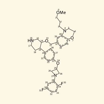 COCCCN1CCOc2ccc(COC3CNCCC3c3ccc(OC4CN(c5cc(F)ccc5F)C4)cc3)cc21